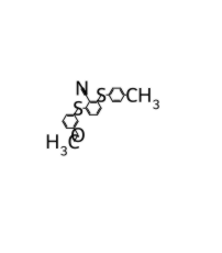 COc1cccc(Sc2cccc(Sc3ccc(C)cc3)c2C#N)c1